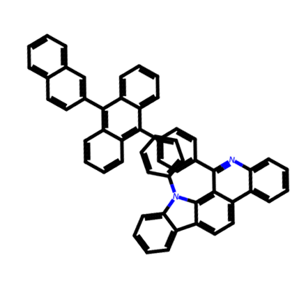 c1ccc(-n2c3ccccc3c3ccc4c5ccccc5nc(-c5ccc(-c6c7ccccc7c(-c7ccc8ccccc8c7)c7ccccc67)cc5)c4c32)cc1